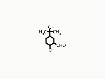 CC1CCC(C(C)(C)O)CC1C=O